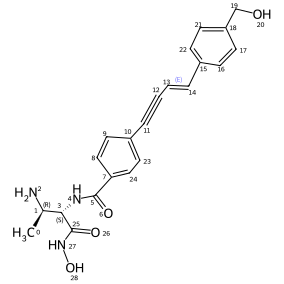 C[C@@H](N)[C@H](NC(=O)c1ccc(C#C/C=C/c2ccc(CO)cc2)cc1)C(=O)NO